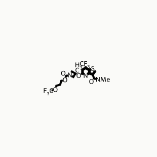 CNC(=O)c1csc2c(C(F)(F)F)cc(OC3(C)CN(C(=O)OCCCOC(F)(F)F)C3)nc12